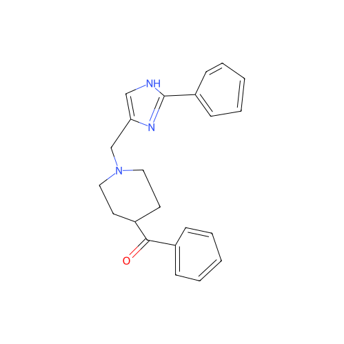 O=C(c1ccccc1)C1CCN(Cc2c[nH]c(-c3ccccc3)n2)CC1